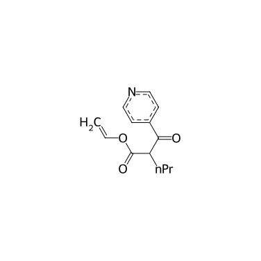 C=COC(=O)C(CCC)C(=O)c1ccncc1